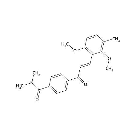 COc1ccc(C)c(OC)c1C=CC(=O)c1ccc(C(=O)N(C)C)cc1